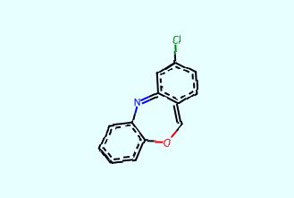 Clc1ccc2c(c1)=Nc1ccccc1OC=2